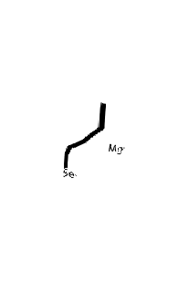 CCC[Se].[Mg]